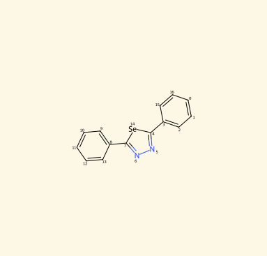 c1ccc(-c2nnc(-c3ccccc3)[se]2)cc1